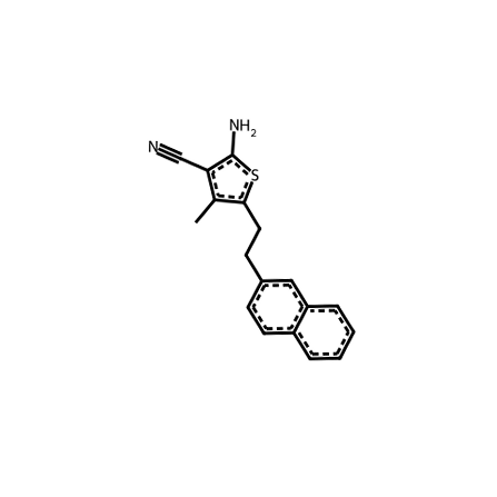 Cc1c(CCc2ccc3ccccc3c2)sc(N)c1C#N